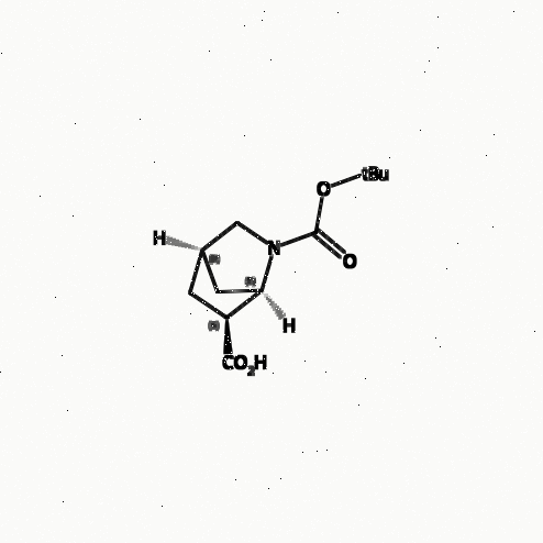 CC(C)(C)OC(=O)N1C[C@@H]2C[C@H](C(=O)O)[C@H]1C2